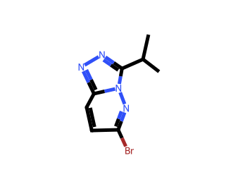 CC(C)c1nnc2ccc(Br)nn12